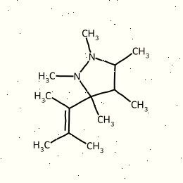 CC(C)=C(C)C1(C)C(C)C(C)N(C)N1C